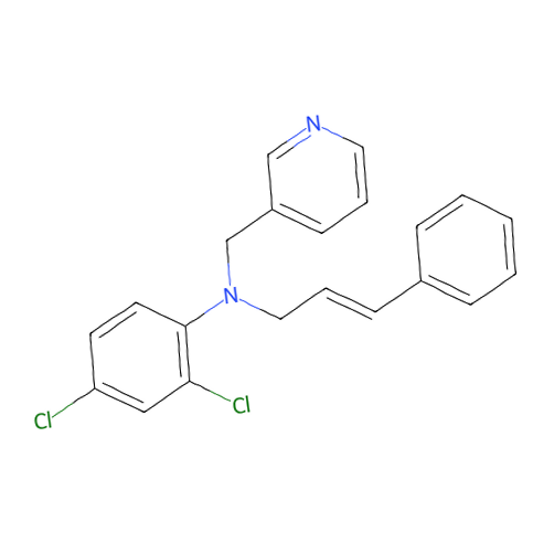 Clc1ccc(N(C/C=C/c2ccccc2)Cc2cccnc2)c(Cl)c1